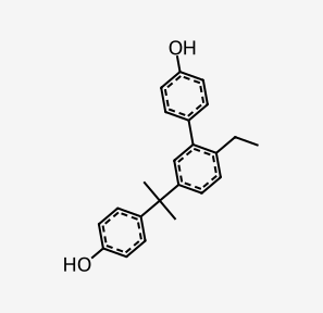 CCc1ccc(C(C)(C)c2ccc(O)cc2)cc1-c1ccc(O)cc1